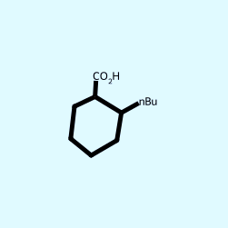 CCCCC1CCCCC1C(=O)O